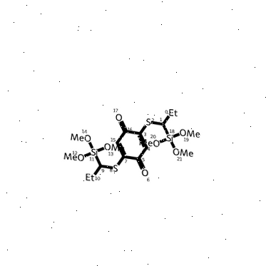 CCC(SC1=CC(=O)C(SC(CC)[Si](OC)(OC)OC)=CC1=O)[Si](OC)(OC)OC